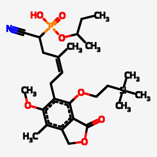 CCC(C)OP(=O)(O)C(C#N)CC(C)=CCc1c(OC)c(C)c2c(c1OCC[Si](C)(C)C)C(=O)OC2